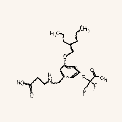 CCCC(CCC)COc1cccc(CNCCC(=O)O)c1.O=C(O)C(F)(F)F